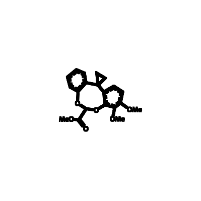 COC(=O)C1Oc2ccccc2C2(CC2)c2ccc(OC)c(OC)c2O1